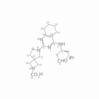 CC(C)C[C@@H](CC=O)Nc1nc(N2CCC3(CN(C(=O)O)C3)C2)nc2c1CCCC2